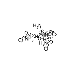 CC(C)C[C@@H](NC(=O)[C@@H](Cc1ccccc1)NC(=O)[C@H](N)Cc1ccccc1)C(=O)N[C@H](CCCCN)C(=O)N1CC2(CCN(C(=O)[C@H](N)Cc3ccccc3)CC2)C1